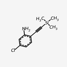 C[Si](C)(C)C#Cc1ccc(Cl)cc1N